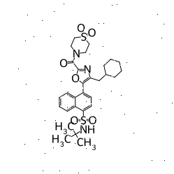 CC(C)(C)NS(=O)(=O)c1ccc(-c2oc(C(=O)N3CCS(=O)(=O)CC3)nc2CC2CCCCC2)c2ccccc12